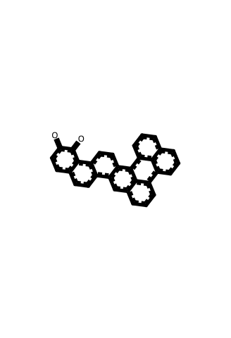 O=c1ccc2ccc3c4cc5cccc6c7cccc8cccc(c87)c(c4ccc3c2c1=O)c56